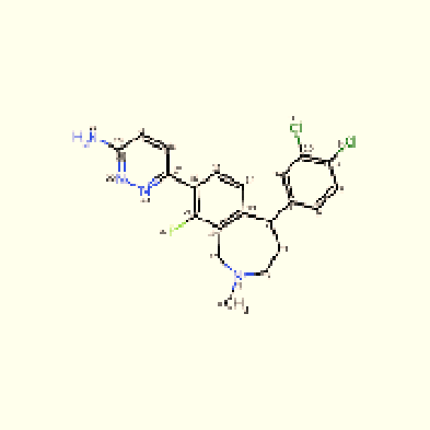 CN1CCC(c2ccc(Cl)c(Cl)c2)c2ccc(-c3ccc(N)nn3)c(F)c2C1